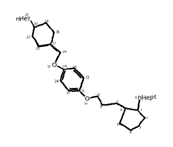 CCCCCCCC1CCCCC1CCCOc1ccc(OCC2CCC(CCCCCC)CC2)cc1